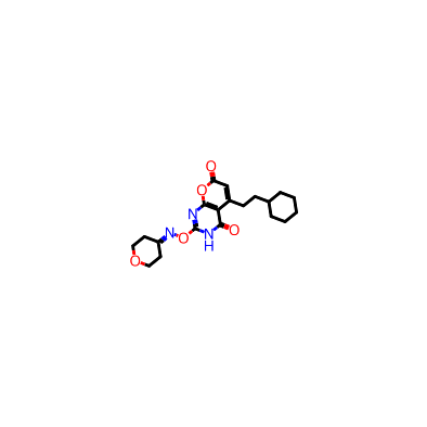 O=c1cc(CCC2CCCCC2)c2c(=O)[nH]c(ON=C3CCOCC3)nc2o1